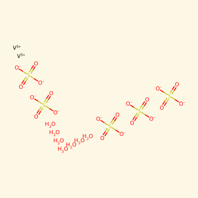 O.O.O.O.O.O.O.O=S(=O)([O-])[O-].O=S(=O)([O-])[O-].O=S(=O)([O-])[O-].O=S(=O)([O-])[O-].O=S(=O)([O-])[O-].[V+5].[V+5]